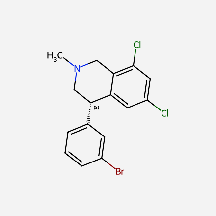 CN1Cc2c(Cl)cc(Cl)cc2[C@H](c2cccc(Br)c2)C1